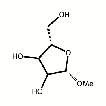 CO[C@H]1O[C@@H](CO)C(O)C1O